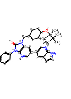 CC(C)(C)[Si](C)(C)OC1CCC(Cn2c(=O)n(-c3ccccc3)c3ncc(-c4cnc5[nH]ccc5c4)cc32)CC1